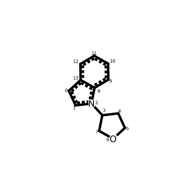 [c]1cn(C2CCOC2)c2ccccc12